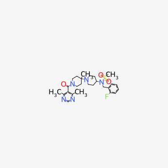 Cc1ncnc(C)c1C(=O)N1CCC(C)(N2CCC(N(Cc3ccccc3F)S(C)(=O)=O)CC2)CC1